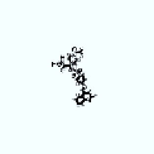 Cc1cc(COc2ccc(S(=O)(=O)NCC(C(=O)NO)N3CCN(C(=O)C(C)C)CC3)cc2)c2ccccc2n1